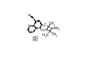 CC1(C)C(N)C(C)(C)C1Oc1ccc(C#N)c2ncccc12.Cl.Cl